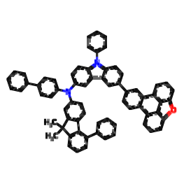 CC1(C)c2cc(N(c3ccc(-c4ccccc4)cc3)c3ccc4c(c3)c3cc(-c5ccc6c(c5)c5cccc7oc8cccc6c8c75)ccc3n4-c3ccccc3)ccc2-c2c(-c3ccccc3)cccc21